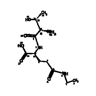 CCNC(=O)CC[C@H](NC(=O)[C@@H](N)[C@@H](C)O)C(=O)O